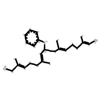 CC/C=C(\C)CC/C=C(\C)CC(/C=C(\C)CC/C=C(\C)CCl)Sc1ccccc1